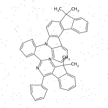 CC1(C)c2ccccc2-c2c1ccc1c2c2ccccc2n1-c1ccccc1-c1nc(-c2ccccc2)c2c(n1)C(C)(C)c1ccccc1-2